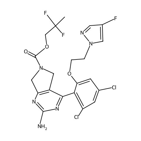 CC(F)(F)COC(=O)N1Cc2nc(N)nc(-c3c(Cl)cc(Cl)cc3OCCn3cc(F)cn3)c2C1